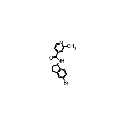 Cc1cc(C(=O)NC2CCc3cc(Br)ccc32)ccn1